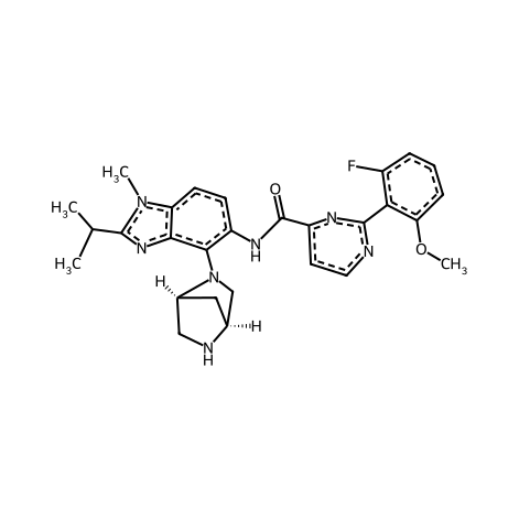 COc1cccc(F)c1-c1nccc(C(=O)Nc2ccc3c(nc(C(C)C)n3C)c2N2C[C@@H]3C[C@H]2CN3)n1